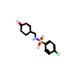 O=C1CCC(CNS(=O)(=O)c2ccc(Cl)cc2)CC1